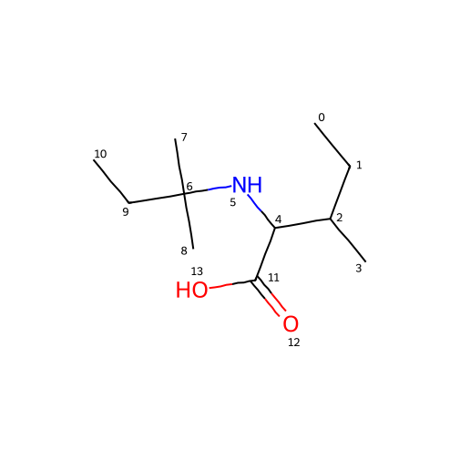 CCC(C)C(NC(C)(C)CC)C(=O)O